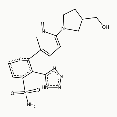 C=N/C(=C\C=C(/C)c1cccc(S(N)(=O)=O)c1-c1nnn[nH]1)N1CCC(CO)C1